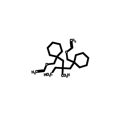 C=COCC1(CC(CC(=O)O)(CC2(COC=C)CCCCC2)C(=O)O)CCCCC1